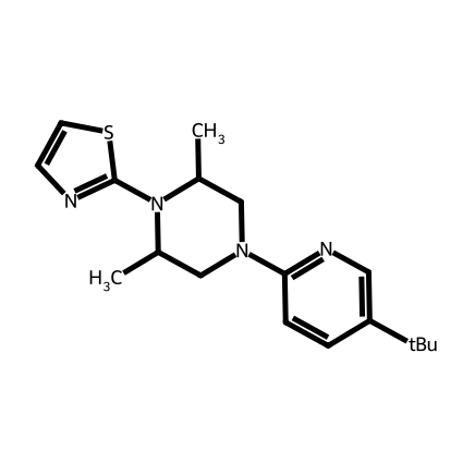 CC1CN(c2ccc(C(C)(C)C)cn2)CC(C)N1c1nccs1